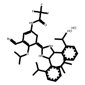 CC(C)OC1=C([CH]=[Ru])C=C(NC(=O)C(F)(F)F)CC1=C1NC(c2c(C(C)C)cccc2C(C)C)C(c2c(C(C)C)cccc2C(C)C)N1.Cl.Cl